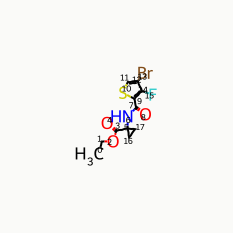 CCOC(=O)C1(NC(=O)c2scc(Br)c2F)CC1